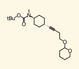 CN(C(=O)OC(C)(C)C)[C@H]1CC[C@H](C#CCCOC2CCCCO2)CC1